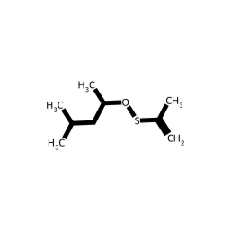 C=C(C)SOC(C)CC(C)C